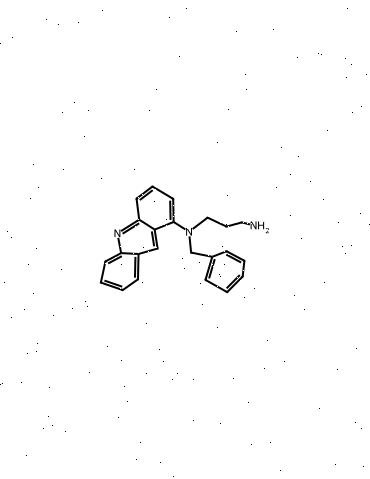 NCCCN(Cc1ccccc1)c1cccc2nc3ccccc3cc12